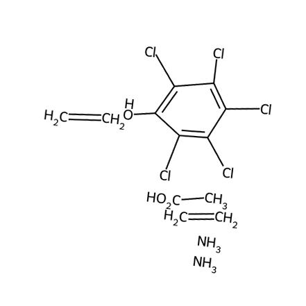 C=C.C=C.CC(=O)O.N.N.Oc1c(Cl)c(Cl)c(Cl)c(Cl)c1Cl